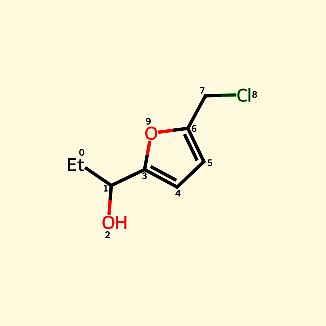 CCC(O)c1ccc(CCl)o1